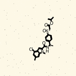 Cc1cc(Cl)c2cc(C(=O)N[C@H](C)c3ccc([S+]([O-])CC(=O)OC(C)C)cc3)n(C)c2c1